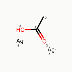 CC(=O)O.[Ag].[Ag]